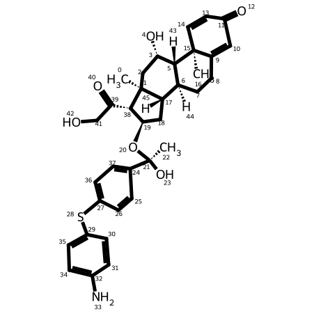 C[C@]12C[C@H](O)[C@H]3[C@@H](CCC4=CC(=O)C=C[C@@]43C)[C@@H]1C[C@@H](O[C@@](C)(O)c1ccc(Sc3ccc(N)cc3)cc1)[C@@H]2C(=O)CO